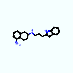 Nc1cccc2c1CCC(NCCCc1cc3ccccc3[nH]1)C2